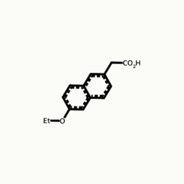 CCOc1ccc2cc(CC(=O)O)ccc2c1